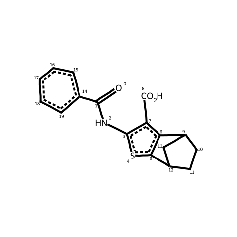 O=C(Nc1sc2c(c1C(=O)O)C1CCC2C1)c1ccccc1